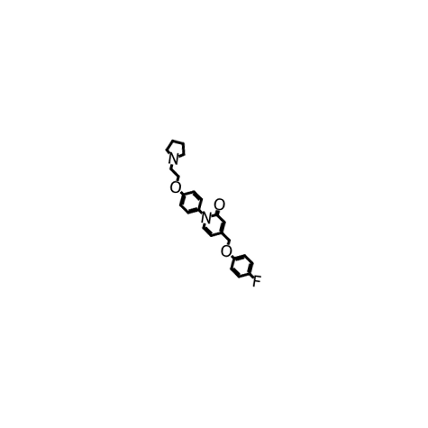 O=c1cc(COc2ccc(F)cc2)ccn1-c1ccc(OCCN2CCCC2)cc1